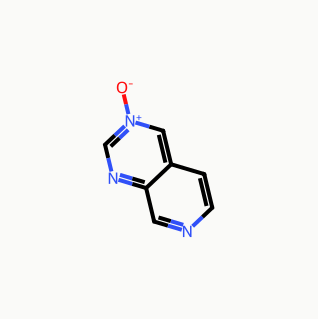 [O-][n+]1cnc2cnccc2c1